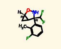 Cc1c(F)cccc1[C@@]1(C(F)F)NO[C@@H]2CC21